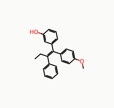 CC/C(=C(/c1ccc(OC)cc1)c1cccc(O)c1)c1ccccc1